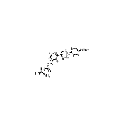 CNc1ccc(N2CCN(c3nccc(COC(=O)NC(=N)N)c3F)CC2)nc1